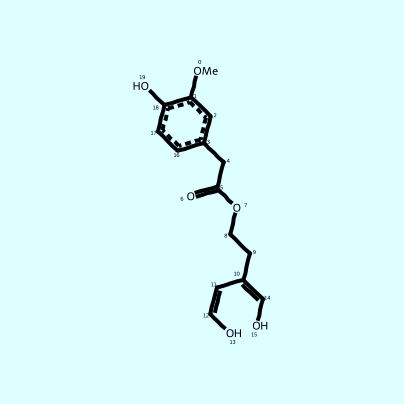 COc1cc(CC(=O)OCCC(/C=C\O)=C/O)ccc1O